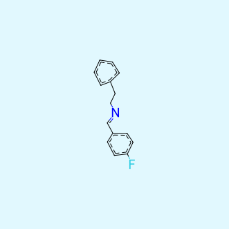 Fc1ccc(C=NCCc2ccccc2)cc1